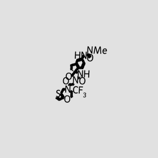 CNC(=O)Nc1ccc2c(c1)CC[C@@]21NC(=O)N(CC(=O)N2Cc3sccc3OC[C@H]2C(F)(F)F)C1=O